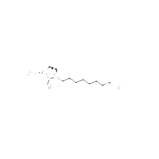 CCCCCCCCCCCCCCCCCCN1C=CN(CCCC)C1CCCCCCC